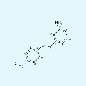 CCc1ccc(OCc2cccc(N)c2)cc1